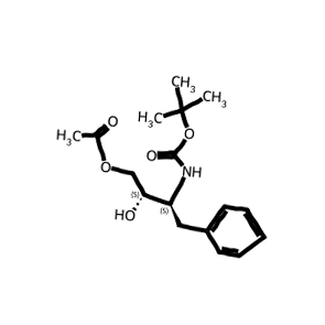 CC(=O)OC[C@@H](O)[C@H](Cc1ccccc1)NC(=O)OC(C)(C)C